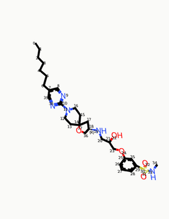 CCCCCCCc1cnc(N2CCC3(CC2)C[C@@H](NCC(O)COc2cccc(S(=O)(=O)NC)c2)CO3)nc1